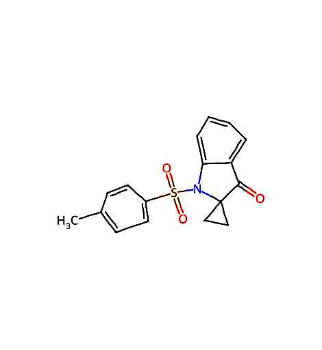 Cc1ccc(S(=O)(=O)N2c3ccccc3C(=O)C23CC3)cc1